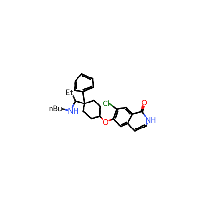 CCCCNC(CC)C1(c2ccccc2)CCC(Oc2cc3cc[nH]c(=O)c3cc2Cl)CC1